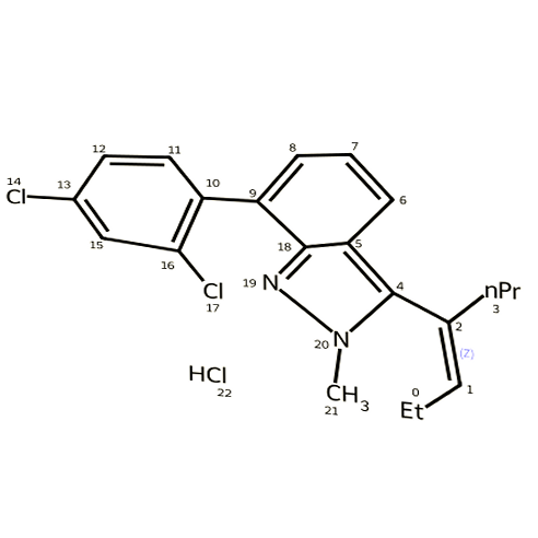 CC/C=C(/CCC)c1c2cccc(-c3ccc(Cl)cc3Cl)c2nn1C.Cl